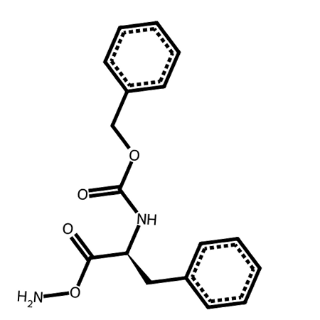 NOC(=O)[C@H](Cc1ccccc1)NC(=O)OCc1ccccc1